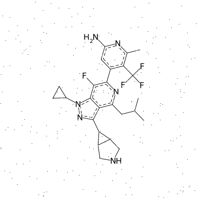 Cc1nc(N)cc(-c2nc(CC(C)C)c3c(C4C5CNCC54)nn(C4CC4)c3c2F)c1C(F)(F)F